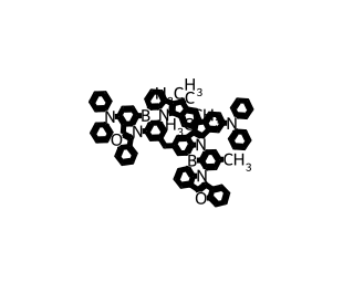 Cc1cc2c3c(c1)-n1c4c(cccc4c4oc5ccccc5c41)B3c1cc(Cc3cc4c5c(c3)-n3c6c(ccc(N(c7ccccc7)c7ccccc7)c6c6oc7ccccc7c63)B5c3cccc5c6c(n-4c35)-c3ccccc3C6(C)C)cc3c4c(n-2c13)-c1cc(N(c2ccccc2)c2ccccc2)ccc1C4(C)C